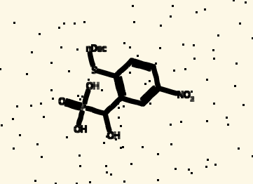 CCCCCCCCCCSc1ccc([N+](=O)[O-])cc1C(O)P(=O)(O)O